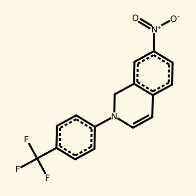 O=[N+]([O-])c1ccc2c(c1)CN(c1ccc(C(F)(F)F)cc1)C=C2